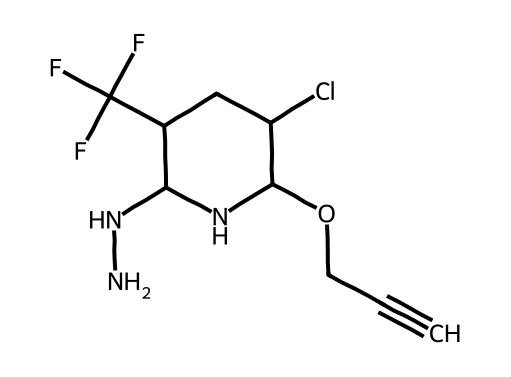 C#CCOC1NC(NN)C(C(F)(F)F)CC1Cl